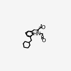 O=BCN[C@@H](Cc1cccc(CC2CCCCC2)c1)[C@H]1CO1